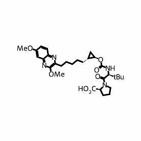 COc1ccc2nc(CCCCC[C@@H]3C[C@H]3OC(=O)N[C@H](C(=O)N3CCC[C@H]3C(=O)O)C(C)(C)C)c(OC)nc2c1